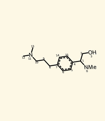 CNC(CO)c1ccc(CCCN(C)C)cc1